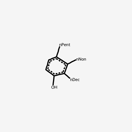 CCCCCCCCCCc1c(O)ccc(CCCCC)c1CCCCCCCCC